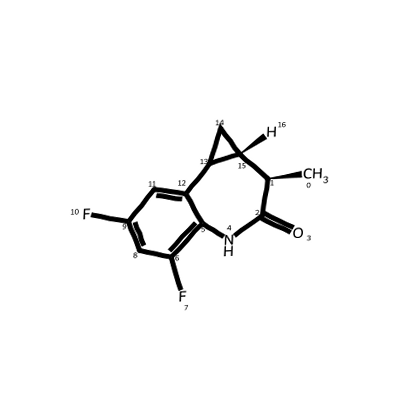 C[C@H]1C(=O)Nc2c(F)cc(F)cc2C2C[C@@H]21